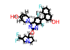 CCc1c(F)ccc2cc(O)cc(-c3c(F)cc4c(N5C[C@@H]6C[C@H](C5)[C@H](O)C6)nc(OCC56CCCN5CC(=C(F)F)C6)nc4c3F)c12